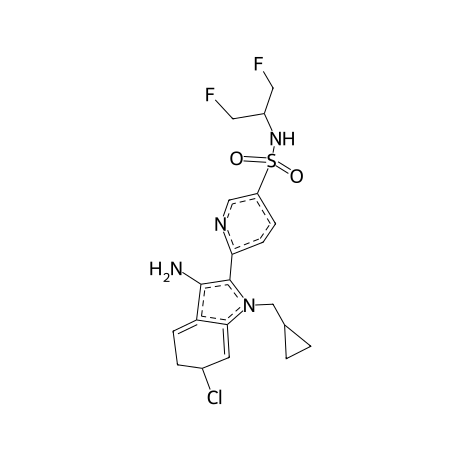 Nc1c(-c2ccc(S(=O)(=O)NC(CF)CF)cn2)n(CC2CC2)c2c1=CCC(Cl)C=2